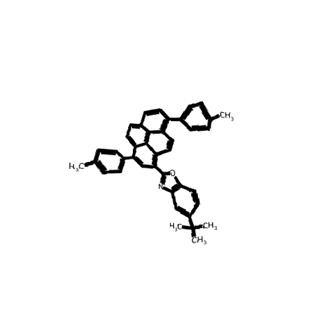 Cc1ccc(-c2ccc3ccc4c(-c5ccc(C)cc5)cc(-c5nc6cc(C(C)(C)C)ccc6o5)c5ccc2c3c45)cc1